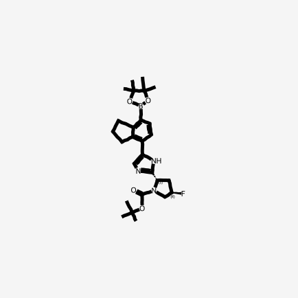 CC(C)(C)OC(=O)N1C[C@H](F)C[C@H]1c1ncc(-c2ccc(B3OC(C)(C)C(C)(C)O3)c3c2CCC3)[nH]1